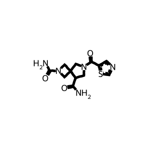 NC(=O)C1CN(C(=O)c2cncs2)CC12CN(C(N)=O)C2